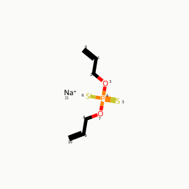 C=CCOP(=S)([S-])OCC=C.[Na+]